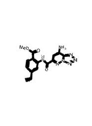 C=Cc1ccc(C(=O)OC)c(NC(=O)c2cc(N)c3nnnn3n2)c1